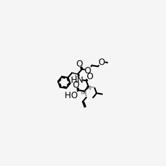 C=CC[C@H](C(=O)O)[C@@H](CC(C)C)C(=O)N[C@@H](Cc1ccccc1)C(=O)OCCOC